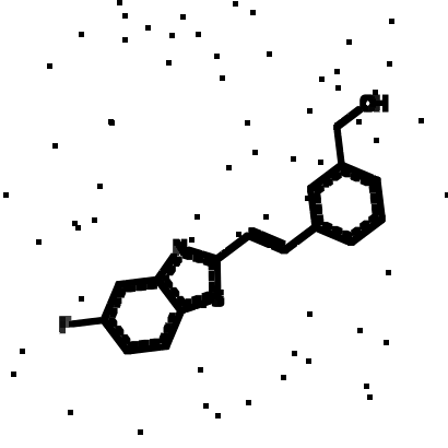 OCc1cccc(/C=C/c2nc3cc(F)ccc3s2)c1